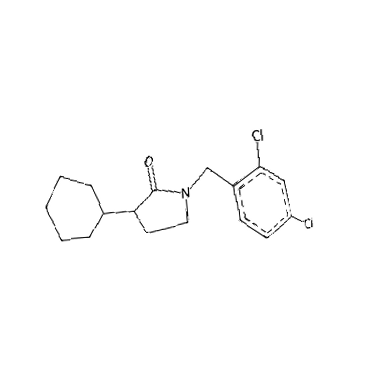 O=C1C(C2CCCCC2)CCN1Cc1ccc(Cl)cc1Cl